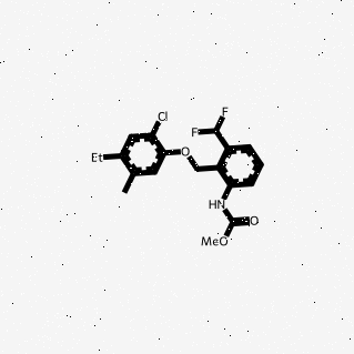 CCc1cc(Cl)c(OCc2c(NC(=O)OC)cccc2C(F)F)cc1C